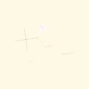 CCOC[C@@H](N)C(C)(C)C.Cl